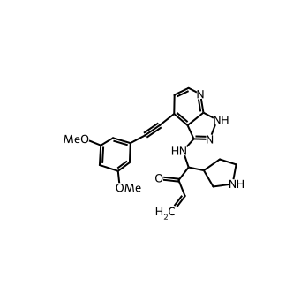 C=CC(=O)C(Nc1n[nH]c2nccc(C#Cc3cc(OC)cc(OC)c3)c12)C1CCNC1